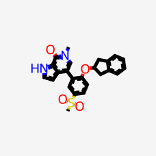 Cn1cc(-c2cc(S(C)(=O)=O)ccc2OC2Cc3ccccc3C2)c2cc[nH]c2c1=O